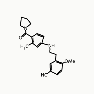 COc1ccc(C#N)cc1CCNc1ccc(C(=O)N2CCCC2)c(C)c1